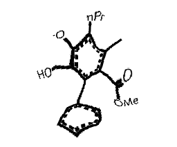 CCCc1c(C)c(C(=O)OC)c(-c2ccccc2)c(O)c1[O]